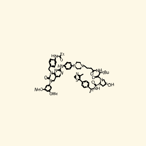 CCC(=O)Nc1ccc(CN2C(=O)N(c3cc(OC)cc(OC)c3)Cc3cnc(Nc4ccc(N5CCN(CCCC(=O)N[C@H](C(=O)N6C[C@H](O)C[C@H]6C(=O)N[C@@H](C)c6ccc(-c7scnc7C)cc6)C(C)(C)C)CC5)cc4)nc32)cc1